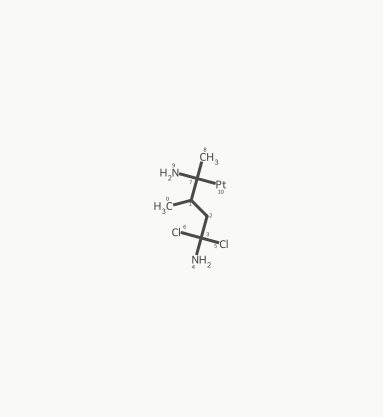 CC(CC(N)(Cl)Cl)[C](C)(N)[Pt]